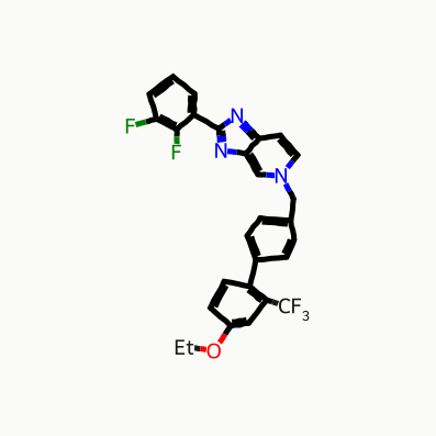 CCOc1ccc(-c2ccc(Cn3ccc4nc(-c5cccc(F)c5F)nc-4c3)cc2)c(C(F)(F)F)c1